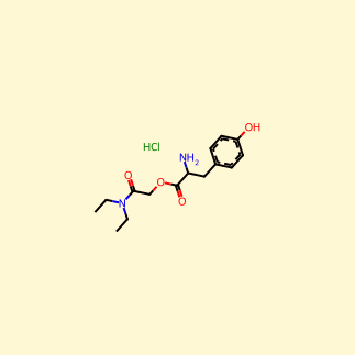 CCN(CC)C(=O)COC(=O)C(N)Cc1ccc(O)cc1.Cl